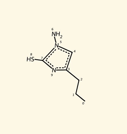 CCCc1cn(N)c(S)n1